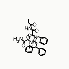 CCC(=O)NC(=O)C(=O)N(Cc1ccccc1)N(CC(c1ccccc1)c1ccccc1)NC(=O)C(N)=O